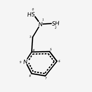 SN(S)Cc1ccccn1